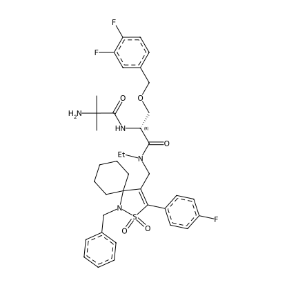 CCN(CC1=C(c2ccc(F)cc2)S(=O)(=O)N(Cc2ccccc2)C12CCCCC2)C(=O)[C@@H](COCc1ccc(F)c(F)c1)NC(=O)C(C)(C)N